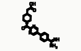 N=C(N)c1ccc(-c2cnc(C(=O)N3CCC(CC(=O)O)CC3)nc2)cc1